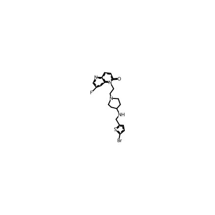 O=c1ccc2ncc(F)cc2n1CCN1CCC(NCc2ccc(Br)s2)CC1